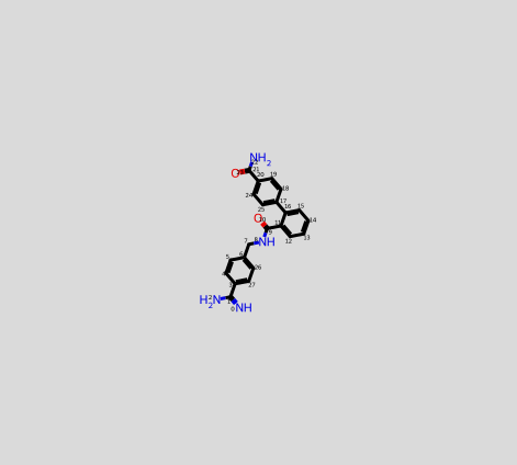 N=C(N)c1ccc(CNC(=O)c2ccccc2-c2ccc(C(N)=O)cc2)cc1